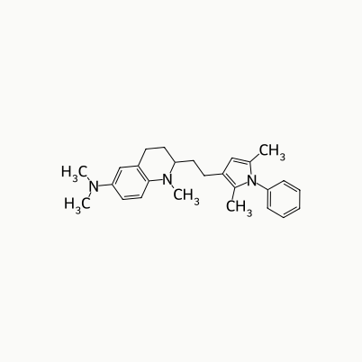 Cc1cc(CCC2CCc3cc(N(C)C)ccc3N2C)c(C)n1-c1ccccc1